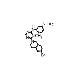 CC(=O)Nc1ccc(C)c(Nc2ncnc(N3CCc4cc(Br)ccc4C3)n2)c1